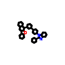 c1ccc(-c2nc3ccccc3n2-c2ccc(-c3cccc(-c4c5ccccc5cc5c4oc4ccccc45)c3)cc2)cc1